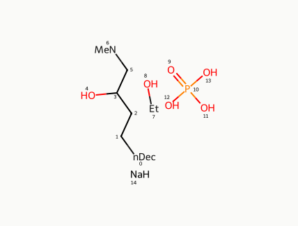 CCCCCCCCCCCCC(O)CNC.CCO.O=P(O)(O)O.[NaH]